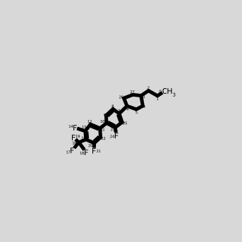 CCCC1CCC(c2ccc(-c3cc(F)c(C(F)(F)F)c(F)c3)c(F)c2)CC1